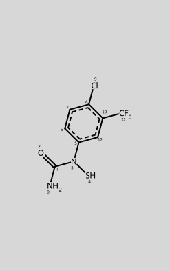 NC(=O)N(S)c1ccc(Cl)c(C(F)(F)F)c1